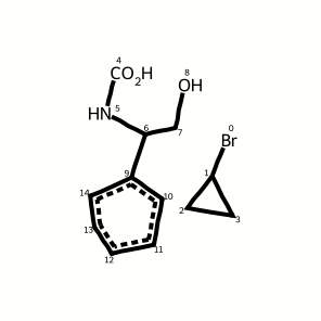 BrC1CC1.O=C(O)NC(CO)c1ccccc1